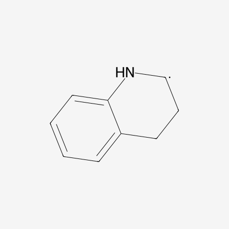 [CH]1CCc2ccccc2N1